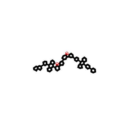 c1ccc(-c2ccc(-c3c4ccccc4c(-c4ccc(-c5ccc6oc7ccc(-c8ccc9c(c8)oc8c(-c%10c%11ccccc%11c(-c%11cccc(-c%12ccc%13ccccc%13c%12)c%11)c%11ccccc%10%11)cccc89)cc7c6c5)cc4)c4ccccc34)cc2)cc1